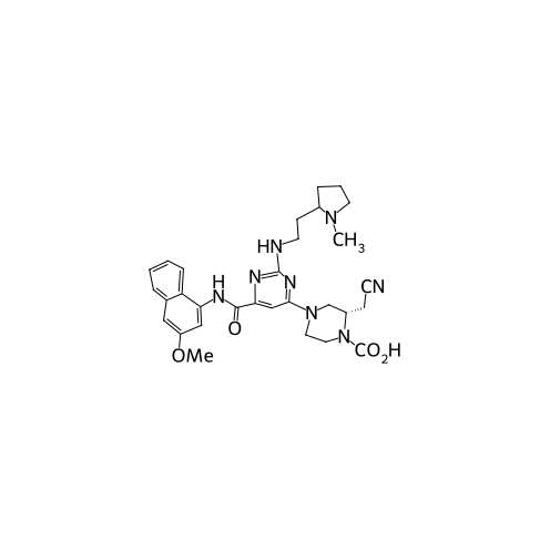 COc1cc(NC(=O)c2cc(N3CCN(C(=O)O)[C@@H](CC#N)C3)nc(NCCC3CCCN3C)n2)c2ccccc2c1